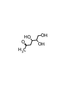 CC(=O)CC(O)C(O)CO